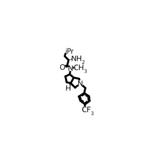 CC(C)C[C@H](N)C(=O)N(C)C1CC[C@H]2CN(Cc3ccc(C(F)(F)F)cc3)CC12